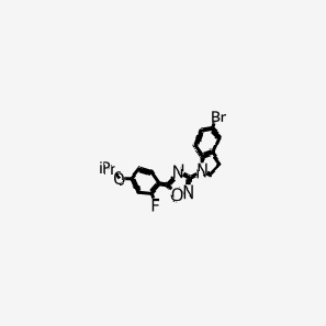 CC(C)Oc1ccc(-c2nc(N3CCc4cc(Br)ccc43)no2)c(F)c1